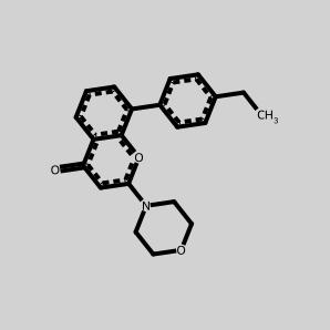 CCc1ccc(-c2cccc3c(=O)cc(N4CCOCC4)oc23)cc1